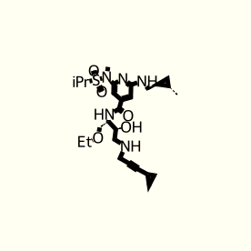 CCOC[C@H](NC(=O)c1cc(NC[C@H]2C[C@@H]2C)nc(N(C)S(=O)(=O)C(C)C)c1)[C@H](O)CNCC#CC1CC1